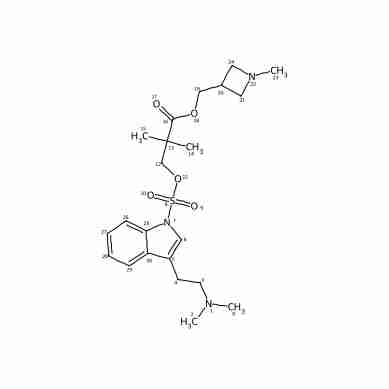 CN(C)CCc1cn(S(=O)(=O)OCC(C)(C)C(=O)OCC2CN(C)C2)c2ccccc12